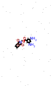 Nc1cc(N)cc(C(=O)OCN2C(=O)C3C4C=CC(O4)C3C2=O)c1